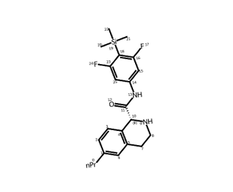 CCCc1ccc2c(c1)CCN[C@H]2C(=O)Nc1cc(F)c([Si](C)(C)C)c(F)c1